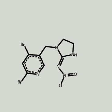 O=[N+]([O-])N=C1NCCN1Cc1cnc(Br)cc1Br